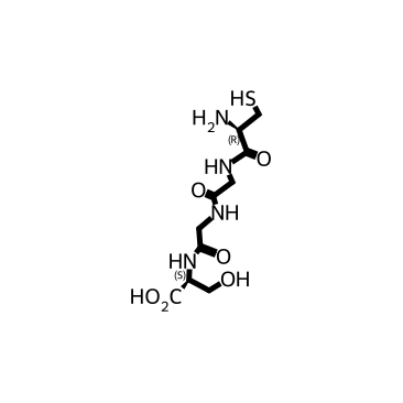 N[C@@H](CS)C(=O)NCC(=O)NCC(=O)N[C@@H](CO)C(=O)O